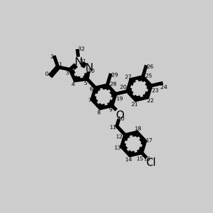 C=C(C)c1cc(-c2ccc(OCc3ccc(Cl)cc3)c(-c3ccc(C)c(C)c3)c2C)nn1C